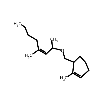 CCCC/C(C)=C\C(C)OCC1CCCC=C1C